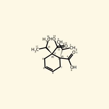 CC(C)[C@]1(C(=O)O)CC=CC[C@@]1(C(=O)O)C(C)C